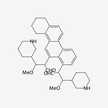 COC(C1CCCNC1)C(C=O)c1cccc2c1c(C(C=O)C(OC)C1CCCNC1)cc1c3c(ccc12)CCCC3